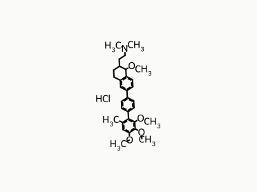 COc1cc(C)c(-c2ccc(-c3ccc4c(c3)CCC(CCN(C)C)C4OC)cc2)c(OC)c1OC.Cl